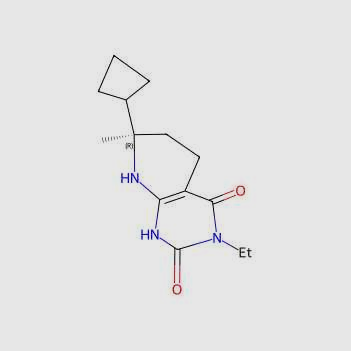 CCn1c(=O)[nH]c2c(c1=O)CC[C@](C)(C1CCC1)N2